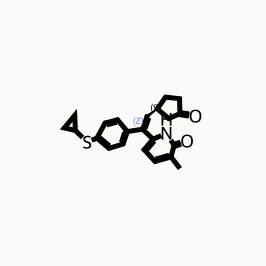 Cc1ccc(/C(=C\[C@H]2CCC(=O)C2)c2ccc(SC3CC3)cc2)[nH]c1=O